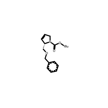 CC(C)(C)OC(=O)N1CC=C[C@H]1COCc1ccccc1